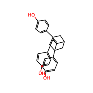 Oc1ccc(C2=C3C4CC(c5ccc(O)cc5)(C2)CC3(c2ccc(O)cc2)C4)cc1